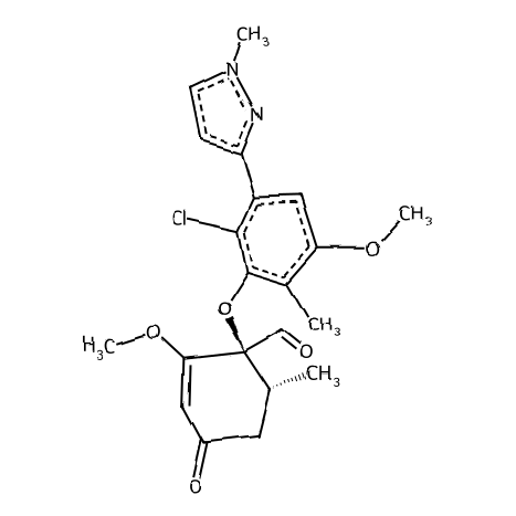 COC1=CC(=O)C[C@@H](C)[C@]1(C=O)Oc1c(C)c(OC)cc(-c2ccn(C)n2)c1Cl